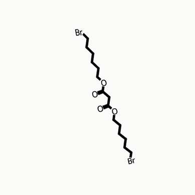 O=C(CC(=O)OCCCCCCBr)OCCCCCCBr